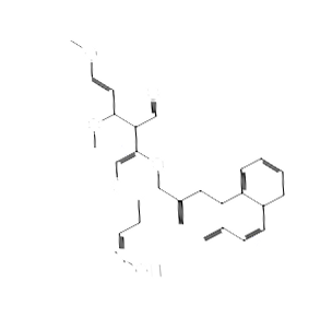 C=C/C=C\C1CC=CC=C1CCC(=C)[C@H](CC/C=N\O)O/C(=C\Cl)C(C=O)C(/C=C/OC)OC